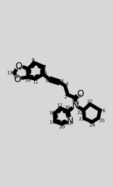 O=C(CCC#Cc1ccc2c(c1)OCO2)N(c1ccccn1)C1CCCCC1